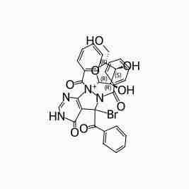 O=C(c1ccccc1)N1C(Br)(C(=O)c2ccccc2)c2c(nc[nH]c2=O)[N+]1(C(=O)c1ccccc1)[C@@H]1O[C@H](CO)[C@@H](O)[C@H]1O